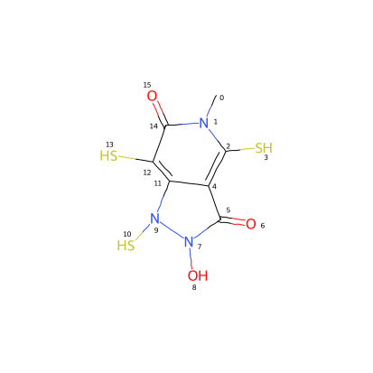 Cn1c(S)c2c(=O)n(O)n(S)c2c(S)c1=O